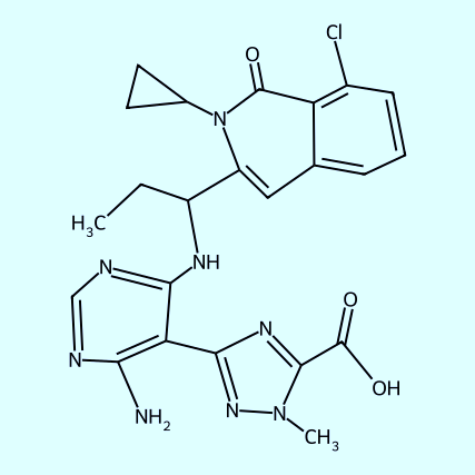 CCC(Nc1ncnc(N)c1-c1nc(C(=O)O)n(C)n1)c1cc2cccc(Cl)c2c(=O)n1C1CC1